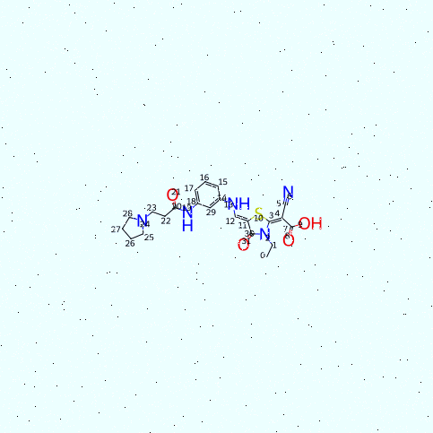 CCn1c(=C(C#N)C(=O)O)sc(=CNc2cccc(NC(=O)CCN3CCCC3)c2)c1=O